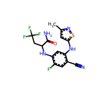 Cc1cc(Nc2cc(NC(CC(F)(F)F)C(N)=O)c(F)cc2C#N)sn1